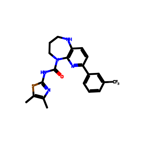 Cc1nc(NC(=O)N2CCCNc3ccc(-c4cccc(C(F)(F)F)c4)nc32)sc1C